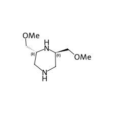 COC[C@H]1CNC[C@H](COC)N1